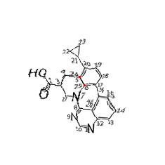 O=C(O)C1CCCN(c2ncnc3cccc(-c4ccc(C5CC5)cc4)c23)C1